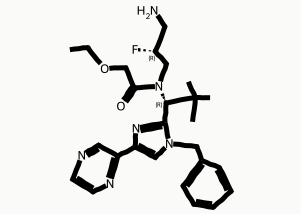 CCOCC(=O)N(C[C@H](F)CN)[C@@H](c1nc(-c2cnccn2)cn1Cc1ccccc1)C(C)(C)C